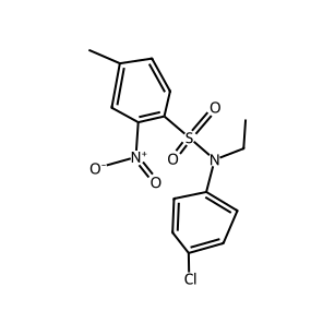 CCN(c1ccc(Cl)cc1)S(=O)(=O)c1ccc(C)cc1[N+](=O)[O-]